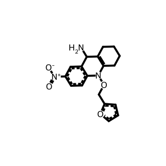 NC1C2=C(CCCC2)N(OCc2ccco2)c2ccc([N+](=O)[O-])cc21